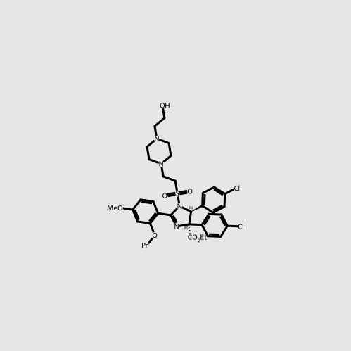 CCOC(=O)[C@]1(c2ccc(Cl)cc2)N=C(c2ccc(OC)cc2OC(C)C)N(S(=O)(=O)CCN2CCN(CCO)CC2)[C@H]1c1ccc(Cl)cc1